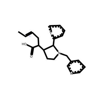 C/C=C/CC(C(=O)O)C1CCN(Cc2cccnc2)C1c1ccccc1